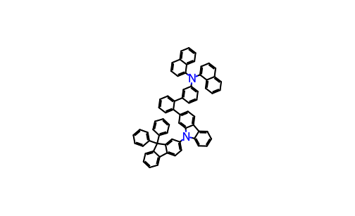 c1ccc(C2(c3ccccc3)c3ccccc3-c3ccc(-n4c5ccccc5c5ccc(-c6ccccc6-c6cccc(N(c7cccc8ccccc78)c7cccc8ccccc78)c6)cc54)cc32)cc1